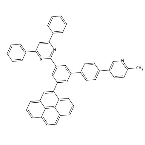 Cc1ccc(-c2ccc(-c3cc(-c4nc(-c5ccccc5)cc(-c5ccccc5)n4)cc(-c4cc5cccc6ccc7cccc4c7c65)c3)cc2)cn1